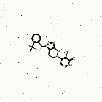 C[C@H](c1ccccc1C(C)(F)F)n1nnc2c1CCN(c1cn[nH]c(=O)c1Cl)[C@H]2C